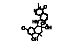 Cn1ncc2c(NC3c4cc(Cl)cc(O)c4C(C)(C)CC3(O)C(F)(F)F)cccc2c1=O